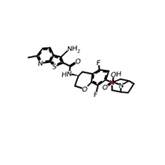 Cc1ccc2c(N)c(C(=O)N[C@@H]3COc4c(F)c(N5CC6CCC(C5)N6C(=O)O)cc(F)c4C3)sc2n1